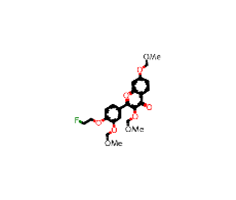 COCOc1ccc2c(=O)c(OCOC)c(-c3ccc(OCCF)c(OCOC)c3)oc2c1